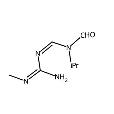 C/N=C(N)\N=C/N(C=O)C(C)C